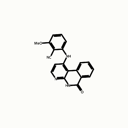 COc1cccc(Nc2ccnc3[nH]c(=O)c4ccccc4c23)c1C#N